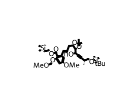 COCOc1cc(OC)cc(/C=C/CC2OC(C)(C)OC2C(O)C#C[C@@H](C)CO[Si](C)(C)C(C)(C)C)c1C(=O)OCC[Si](C)(C)C